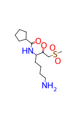 CS(=O)(=O)CC(=O)C(CCCCN)NC(=O)C1CCCC1